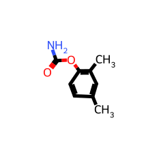 Cc1ccc(OC(N)=O)c(C)c1